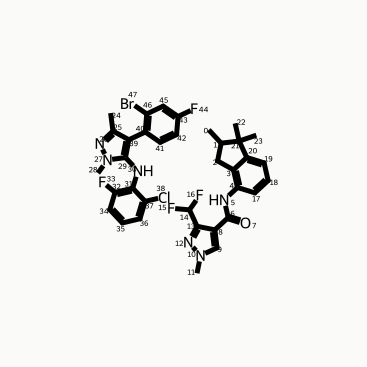 CC1Cc2c(NC(=O)c3cn(C)nc3C(F)F)cccc2C1(C)C.Cc1nn(C)c(Nc2c(F)cccc2Cl)c1-c1ccc(F)cc1Br